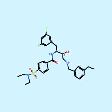 CCc1cccc(CNC[C@H](O)[C@H](Cc2cc(F)cc(F)c2)NC(=O)c2ccc(S(=O)(=O)N(CC)CC)cc2)c1